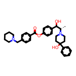 C[C@@H](C(O)c1ccc(OC(=O)c2ccc(CN3CCCCC3)cc2)cc1)N1CCC(O)(c2ccccc2)CC1